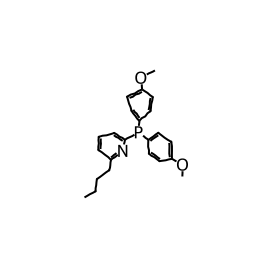 CCCCc1cccc(P(c2ccc(OC)cc2)c2ccc(OC)cc2)n1